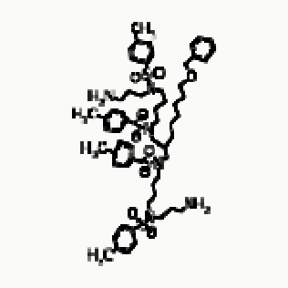 Cc1ccc(S(=O)(=O)N(CCCN)CCCCN(CC(CCCCCCOCc2ccccc2)CN(CCCCN(CCCN)S(=O)(=O)c2ccc(C)cc2)S(=O)(=O)c2ccc(C)cc2)S(=O)(=O)c2ccc(C)cc2)cc1